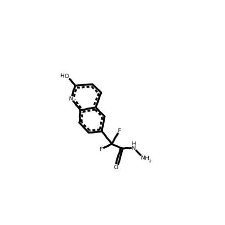 NNC(=O)C(F)(F)c1ccc2nc(O)ccc2c1